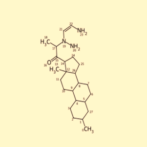 CC1CCC2C(CCC3C2CCC2(C)C(C(=O)C(C)N(N)/C=C\N)CCC32)C1